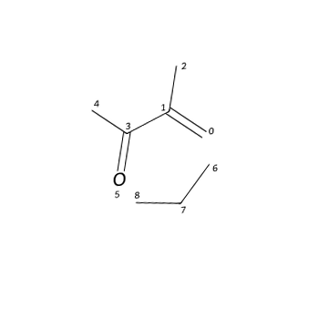 C=C(C)C(C)=O.CCC